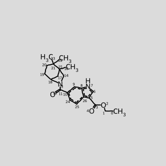 CCOC(=O)c1c[nH]c2cc(C(=O)N3CC4(C)CC3CCC4(C)C)ccc12